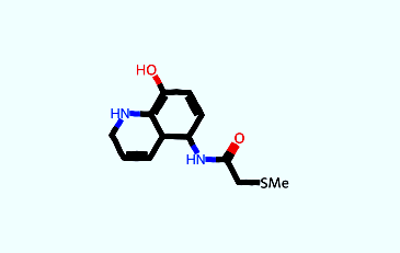 CSCC(=O)NC1C=CC(O)=C2NCC=CC21